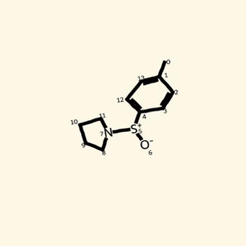 Cc1ccc([S+]([O-])N2CCCC2)cc1